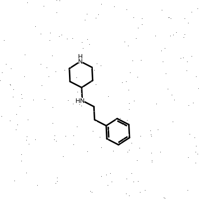 c1ccc(CCNC2CCNCC2)cc1